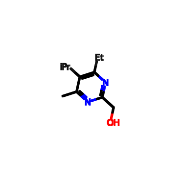 CCc1nc(CO)nc(C)c1C(C)C